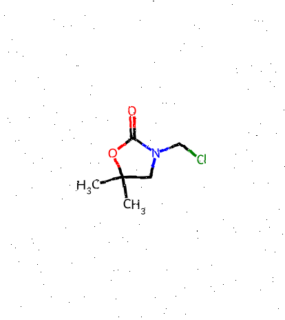 CC1(C)CN(CCl)C(=O)O1